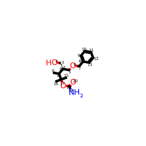 CC([C@H](CO)COCc1ccccc1)C(C)(C)OC(N)=O